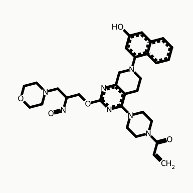 C=CC(=O)N1CCN(c2nc(OCC(CN3CCOCC3)N=O)nc3c2CCN(c2cc(O)cc4ccccc24)C3)CC1